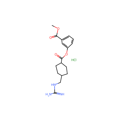 COC(=O)c1cccc(OC(=O)C2CCC(CNC(=N)N)CC2)c1.Cl